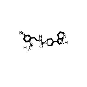 COc1ccc(Br)cc1CCNC(=O)N1CC=C(c2c[nH]c3ncccc23)CC1